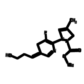 CC1=CN(C2=C(F)CC(=CCCO)C=N2)N(C(=O)OC(C)(C)C)C1